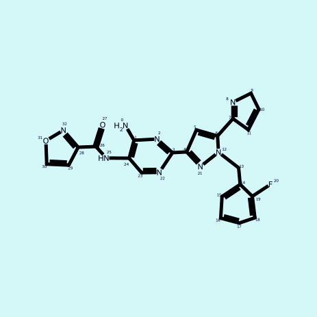 Nc1nc(-c2cc(C3=NCC=C3)n(Cc3ccccc3F)n2)ncc1NC(=O)c1ccon1